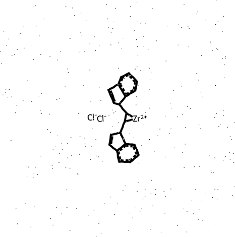 C1=CC([CH]2[Zr+2][CH]2C2C=Cc3ccccc32)c2ccccc21.[Cl-].[Cl-]